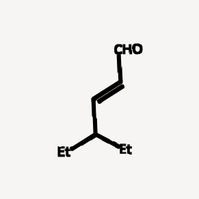 CCC(C=CC=O)CC